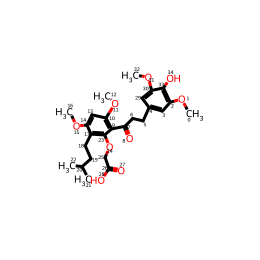 COc1cc(CCC(=O)c2c(OC)cc(OC)c(CCC(C)C)c2OCC(=O)O)cc(OC)c1O